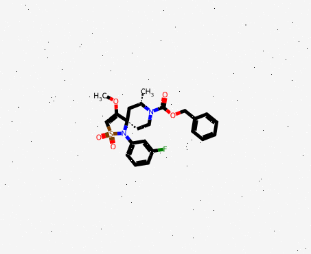 COC1=CS(=O)(=O)N(c2cccc(F)c2)[C@@]12CCN(C(=O)OCc1ccccc1)[C@@H](C)C2